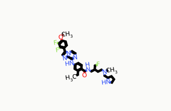 CCc1cc(Nc2nccn3c(-c4ccc(OC)c(F)c4F)cnc23)ccc1C(=O)NCC(CF)CCN(C)CC1CCCN1